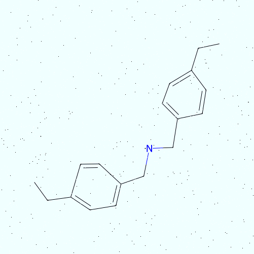 CCc1ccc(C[N]Cc2ccc(CC)cc2)cc1